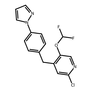 FC(F)Oc1cnc(Cl)cc1Cc1ccc(-n2cccn2)cc1